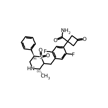 C[C@@H]1NC[C@@H](c2ccccc2)S(=O)(=O)C1Cc1cc(F)c(C2(C(N)=O)CC(=O)C2)cc1F